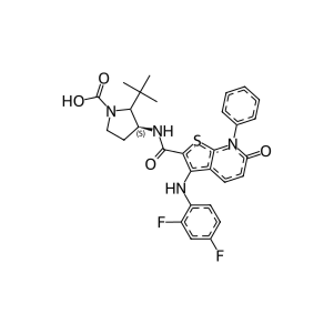 CC(C)(C)C1[C@@H](NC(=O)c2sc3c(ccc(=O)n3-c3ccccc3)c2Nc2ccc(F)cc2F)CCN1C(=O)O